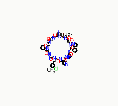 CC[C@H](C)[C@@H]1NC(=O)[C@H](CC(C)C)N(C)C(=O)C[C@@H](C(=O)N2CCCCC2)N(C)C(=O)[C@H](C2CCCCC2)N(C)C(=O)C2(CCCC2)NC(=O)CN(Cc2ccncc2)C(=O)[C@H](CCc2ccc(C(F)(F)F)c(Cl)c2)NC(=O)CN(C)C(=O)[C@H](CC2CCCCC2)N(C)C(=O)CN(C)C(=O)CN(C)C1=O